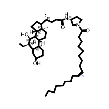 CCCCCCCC/C=C\CCCCCCCC(=O)N1CC[C@@H](NC(=O)CC[C@@H](C)C2CC[C@H]3[C@@H]4[C@H](O)[C@H](CC)C5CC(O)CC[C@]5(C)[C@H]4CC[C@]23C)C1